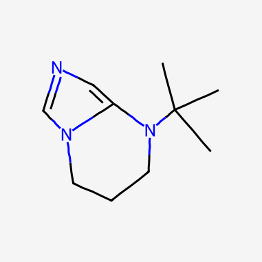 CC(C)(C)N1CCCn2cncc21